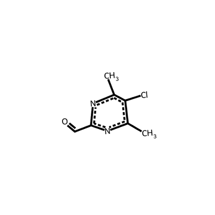 Cc1nc(C=O)nc(C)c1Cl